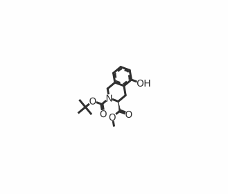 COC(=O)[C@@H]1Cc2c(O)cccc2CN1C(=O)OC(C)(C)C